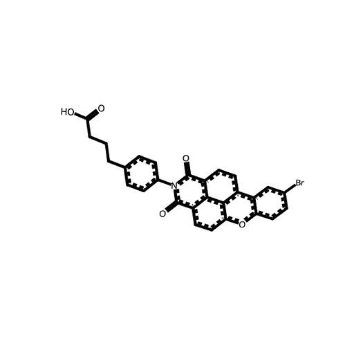 O=C(O)CCCc1ccc(-n2c(=O)c3ccc4oc5ccc(Br)cc5c5ccc(c2=O)c3c45)cc1